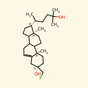 CC(CCC(C)(C)O)[C@H]1CCC2C3CC=C4C[C@](O)(CF)CC[C@]4(C)C3CC[C@@]21C